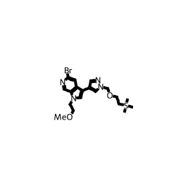 COCCn1cc(-c2cnn(COCCS(C)(C)C)c2)c2cc(Br)ncc21